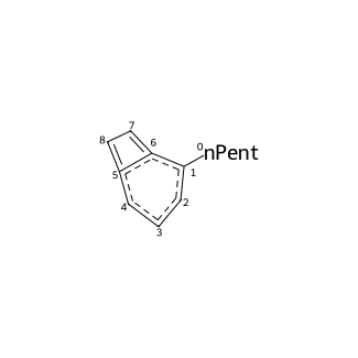 CCCCCc1cccc2c1=CC=2